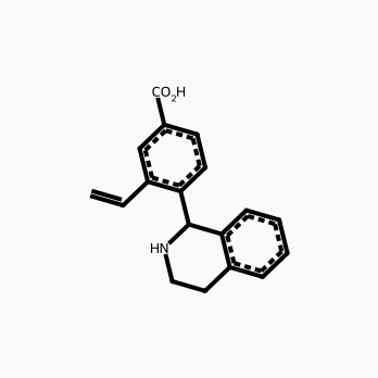 C=Cc1cc(C(=O)O)ccc1C1NCCc2ccccc21